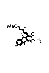 CCC(CCOC)c1cc2c(=O)n(C)ncc2c(-c2ccc(F)cc2F)n1